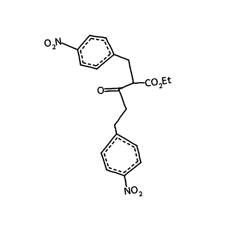 CCOC(=O)C(Cc1ccc([N+](=O)[O-])cc1)C(=O)CCc1ccc([N+](=O)[O-])cc1